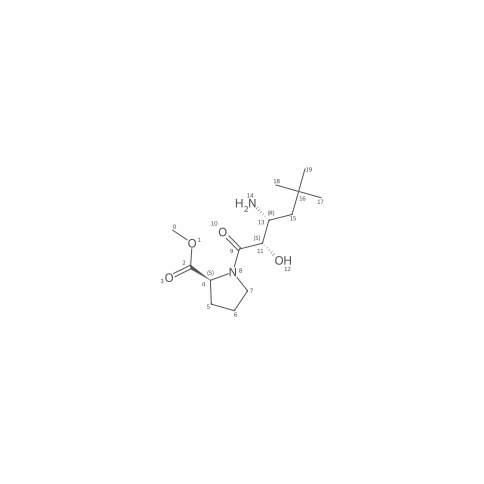 COC(=O)[C@@H]1CCCN1C(=O)[C@@H](O)[C@H](N)CC(C)(C)C